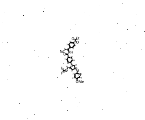 CCS(=O)(=O)c1ccc([C@H](CC#N)NC(=O)c2ccc(N3C[C@@H](Oc4ccc(OC)cn4)C[C@H]3COC(F)F)cc2)cc1